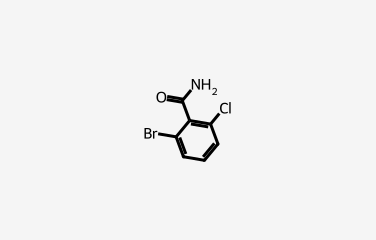 NC(=O)c1c(Cl)cccc1Br